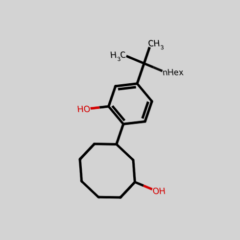 CCCCCCC(C)(C)c1ccc(C2CCCCCC(O)C2)c(O)c1